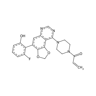 C=CC(=O)N1CCN(c2ncnc3cc(-c4c(O)cccc4F)c4c(c23)OCO4)CC1